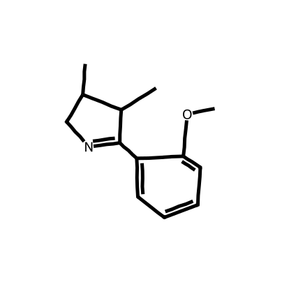 COc1ccccc1C1=NCC(C)C1C